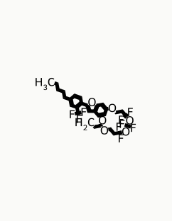 C=CC(=O)OCCC(F)(F)OC(F)(F)OC(F)(F)CCOc1ccc2cc(-c3ccc(CCCCC)cc3C(F)(F)F)oc2c1